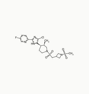 C[C@H]1CN(S(=O)(=O)CC2CN(S(C)(=O)=O)C2)CC[C@H]1c1[nH]c(-c2ccc(F)cn2)nc1Cl